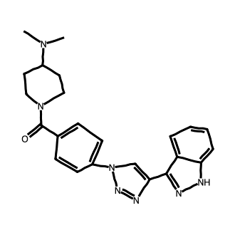 CN(C)C1CCN(C(=O)c2ccc(-n3cc(-c4n[nH]c5ccccc45)nn3)cc2)CC1